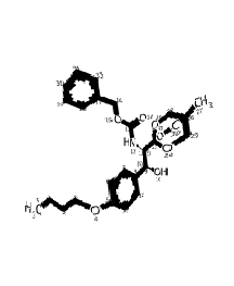 CCCCOc1ccc([C@H](O)[C@H](NC(=O)OCc2ccccc2)C23OCC(C)(CO2)CO3)cc1